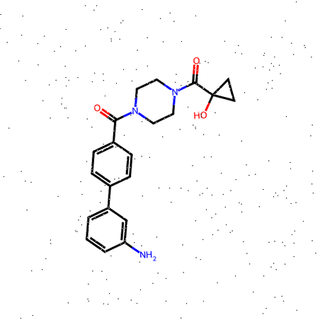 Nc1cccc(-c2ccc(C(=O)N3CCN(C(=O)C4(O)CC4)CC3)cc2)c1